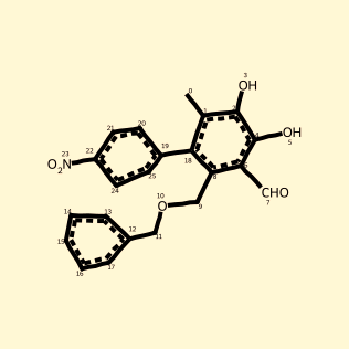 Cc1c(O)c(O)c(C=O)c(COCc2ccccc2)c1-c1ccc([N+](=O)[O-])cc1